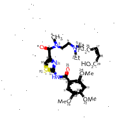 CCN(CC)CCN(C)C(=O)c1csc(NC(=O)c2cc(OC)c(OC)cc2OC)n1.O=C(O)/C=C\C(=O)O